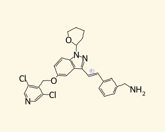 NCc1cccc(/C=C/c2nn(C3CCCCO3)c3ccc(OCc4c(Cl)cncc4Cl)cc23)c1